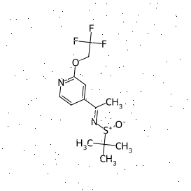 C/C(=N\[S@+]([O-])C(C)(C)C)c1ccnc(OCC(F)(F)F)c1